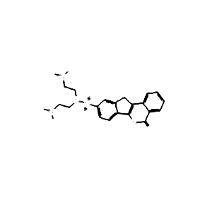 CCN(CC)CCN(CCN(CC)CC)S(=O)(=O)c1ccc2c(c1)Cc1c-2[nH]c(=O)c2ccccc12